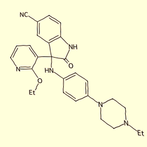 CCOc1ncccc1C1(Nc2ccc(N3CCN(CC)CC3)cc2)C(=O)Nc2ccc(C#N)cc21